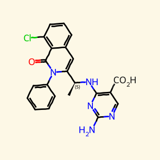 C[C@H](Nc1nc(N)ncc1C(=O)O)c1cc2cccc(Cl)c2c(=O)n1-c1ccccc1